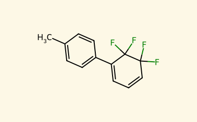 Cc1ccc(C2=CC=CC(F)(F)C2(F)F)cc1